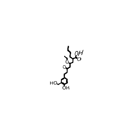 CCCCC(CC(CC(=O)CCc1ccc(O)c(CO)c1)OCC)C(=O)O